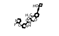 CN1C(=O)[C@@H](NC(=O)c2cc(Oc3cccnc3F)ccn2)COc2ccc(C#CC3(O)CCC3)cc21